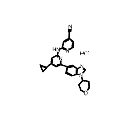 Cl.N#Cc1ccnc(Nc2cc(C3CC3)cc(-c3ccc4c(c3)ncn4C3CCOCC3)n2)c1